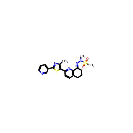 Cc1nc(-c2cccnc2)sc1-c1ccc2c(n1)/C(=N/N(C)S(C)(=O)=O)CCC2